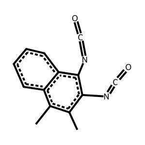 Cc1c(N=C=O)c(N=C=O)c2ccccc2c1C